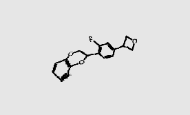 Fc1cc(C2COC2)ccc1C1COc2ccc[c]c2O1